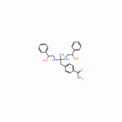 CC(Cc1ccc(C(N)=O)cc1)(NCC(O)c1ccccc1)NCC(O)c1ccccc1